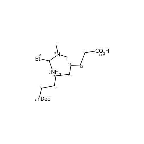 CCC(N)N(C)C.CCCCCCCCCCCCCCCCCC(=O)O